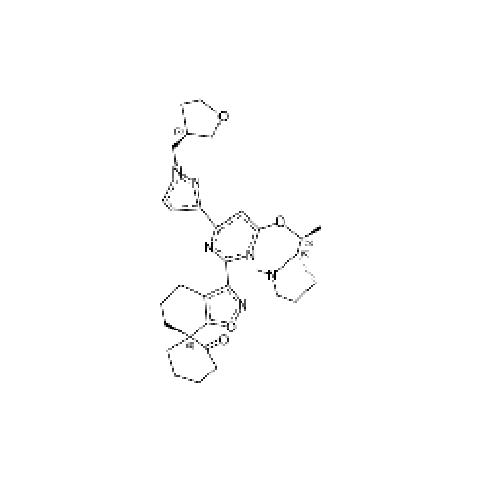 C[C@H](Oc1cc(-c2ccn(C[C@H]3CCOC3)n2)nc(-c2noc3c2CCC[C@@]32CCCCC2=O)n1)[C@@H]1CCCN1C